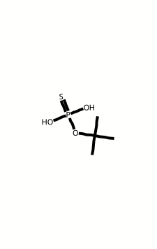 CC(C)(C)OP(O)(O)=S